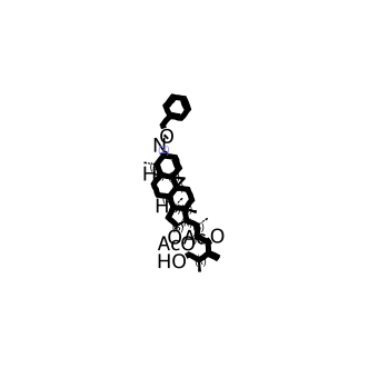 C=C(C(=O)[C@H](OC(C)=O)[C@@H](C)[C@H]1[C@@H](OC(C)=O)C[C@@]2(C)[C@@H]3CC[C@H]4[C@H](C)/C(=N/OCc5ccccc5)C=C[C@@]45C[C@@]35CC[C@]12C)[C@@H](C)CO